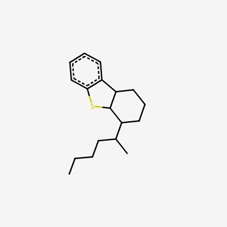 CCCCC(C)C1CCCC2c3ccccc3SC21